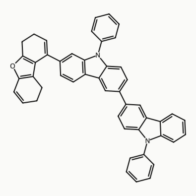 C1=Cc2oc3c(c2CC1)C(c1ccc2c4cc(-c5ccc6c(c5)c5ccccc5n6-c5ccccc5)ccc4n(-c4ccccc4)c2c1)=CCC3